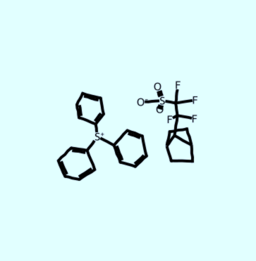 O=S(=O)([O-])C(F)(F)C(F)(F)C1C2CCC1CC2.c1ccc([S+](c2ccccc2)c2ccccc2)cc1